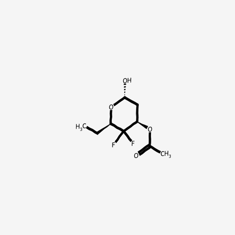 CC[C@H]1O[C@H](O)C[C@@H](OC(C)=O)C1(F)F